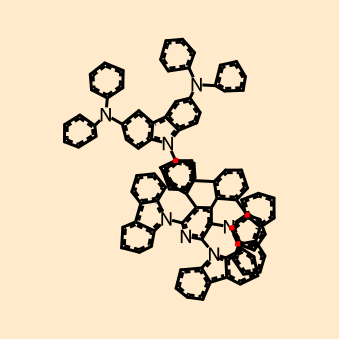 c1ccc(-c2cccc(-c3ccccc3)c2-c2c(-c3ccc(-n4c5ccc(N(c6ccccc6)c6ccccc6)cc5c5cc(N(c6ccccc6)c6ccccc6)ccc54)cc3)c(-n3c4ccccc4c4ccccc43)nc(-n3c4ccccc4c4ccccc43)c2-n2c3ccccc3c3ccccc32)cc1